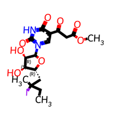 CCC(C)(I)C[C@H]1OC(n2cc(C(=O)CC(=O)OC)c(=O)[nH]c2=O)[C@H](O)[C@@H]1O